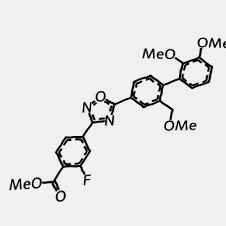 COCc1cc(-c2nc(-c3ccc(C(=O)OC)c(F)c3)no2)ccc1-c1cccc(OC)c1OC